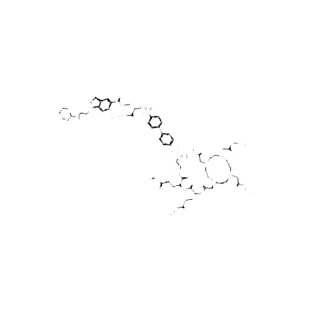 COC(=O)[C@H](CNC(=O)c1ccc2c(cnn2CCNC2=NCCCC2)c1)NS(=O)(=O)c1ccc(-c2ccc(S(=O)(=O)NCCNC(=O)C(CCC(=O)OC(C)(C)C)NC(=O)[C@H](CCC(=O)OC(C)(C)C)NC(=O)CN3CCN(CC(=O)OC(C)(C)C)CCN(CC(=O)OC(C)(C)C)CCN(CC(=O)OC(C)(C)C)CC3)cc2)cc1